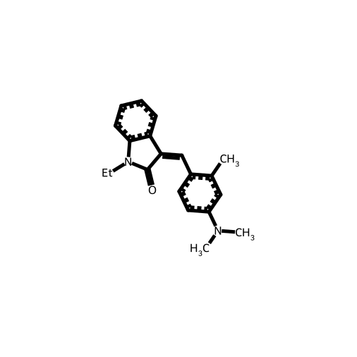 CCN1C(=O)/C(=C\c2ccc(N(C)C)cc2C)c2ccccc21